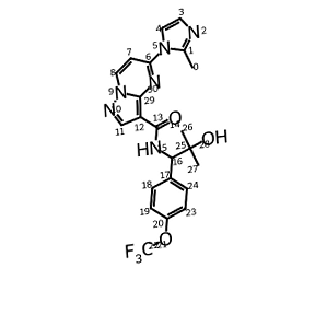 Cc1nccn1-c1ccn2ncc(C(=O)NC(c3ccc(OC(F)(F)F)cc3)C(C)(C)O)c2n1